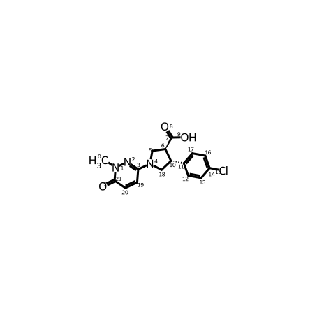 Cn1nc(N2C[C@@H](C(=O)O)[C@H](c3ccc(Cl)cc3)C2)ccc1=O